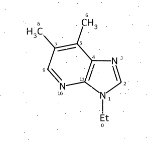 CCn1cnc2c(C)c(C)cnc21